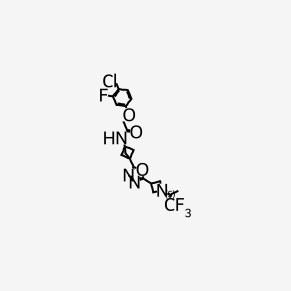 C[C@H](N1CC(c2nnc(C34CC(NC(=O)COc5ccc(Cl)c(F)c5)(C3)C4)o2)C1)C(F)(F)F